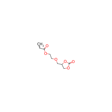 C=CC(=O)OCCOCC1COC(=O)O1